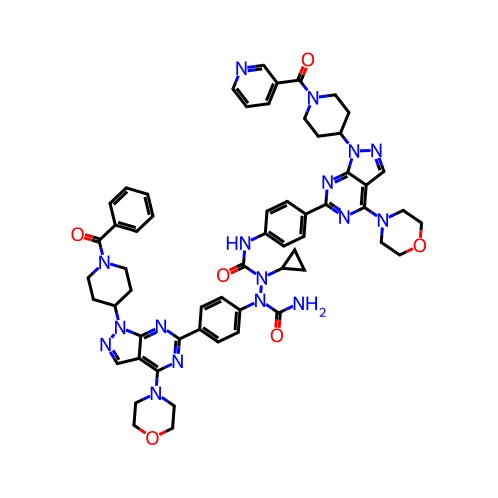 NC(=O)N(c1ccc(-c2nc(N3CCOCC3)c3cnn(C4CCN(C(=O)c5ccccc5)CC4)c3n2)cc1)N(C(=O)Nc1ccc(-c2nc(N3CCOCC3)c3cnn(C4CCN(C(=O)c5cccnc5)CC4)c3n2)cc1)C1CC1